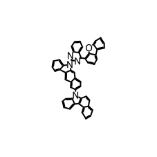 c1ccc2c(c1)ccc1c2c2ccccc2n1-c1ccc2cc3c(cc2c1)c1ccccc1n3-c1nc(-c2cccc3c2oc2ccccc23)c2ccccc2n1